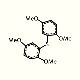 COc1ccc(OC)c(Sc2cc(OC)ccc2OC)c1